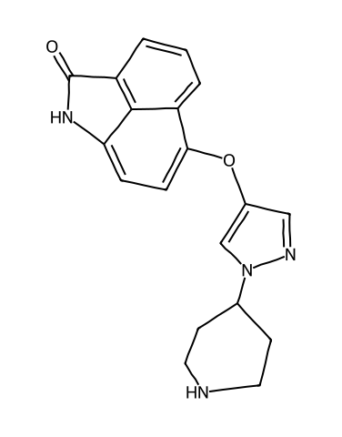 O=C1Nc2ccc(Oc3cnn(C4CCNCC4)c3)c3cccc1c23